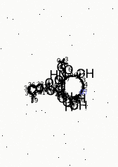 CC(C)(C)OC(=O)N[C@H]1CCC(O)CC/C=C\[C@@H]2C[C@@]2(C(=O)O)NC(=O)[C@@H]2C[C@@H](OC(=O)N3Cc4cccc(F)c4C3)CN2C1=O